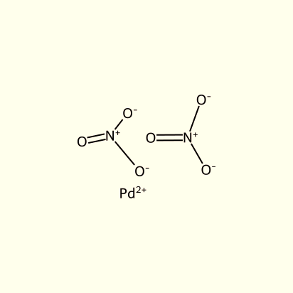 O=[N+]([O-])[O-].O=[N+]([O-])[O-].[Pd+2]